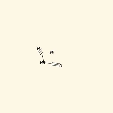 N#CBC#N.[Ni]